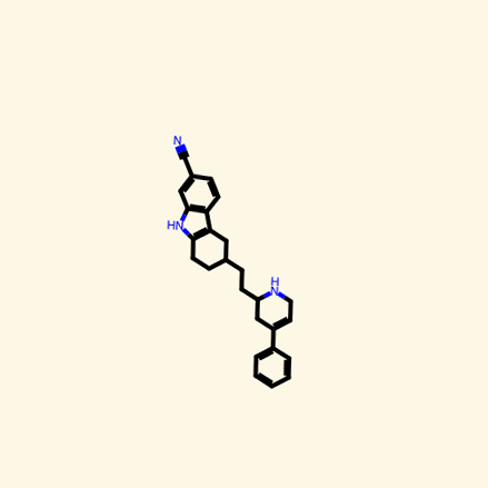 N#Cc1ccc2c3c([nH]c2c1)CCC(CCC1CC(c2ccccc2)=CCN1)C3